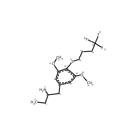 CCC(N)Cc1cc(OC)c(SCCCC(F)(F)F)c(OC)c1